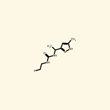 Cc1cc(C(C)NC(=O)NCCF)n[nH]1